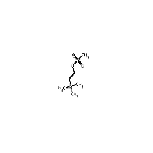 C[Si](C)(C)CCOS(C)(=O)=O